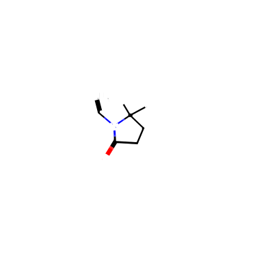 C=CN1C(=O)CCC1(C)C